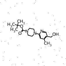 Cc1cc(N2CCN(C(=O)OC(C)(C)C)CC2)ncc1CO